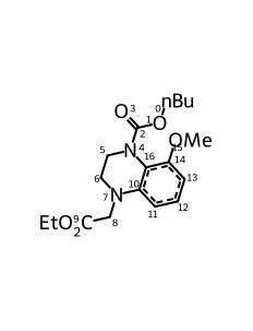 CCCCOC(=O)N1CCN(CC(=O)OCC)c2cccc(OC)c21